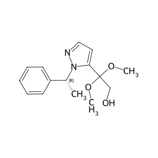 COC(CO)(OC)c1ccnn1[C@H](C)c1ccccc1